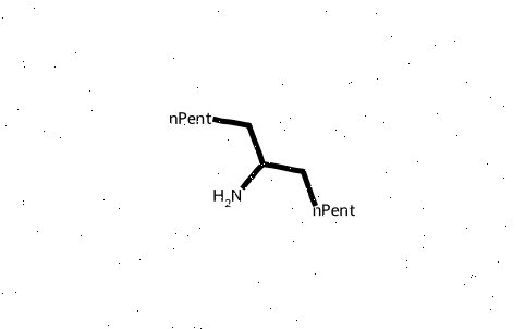 CCCCCCC(N)CCCCCC